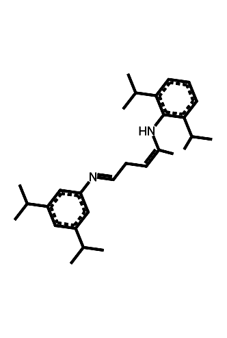 CC(=CCC=Nc1cc(C(C)C)cc(C(C)C)c1)Nc1c(C(C)C)cccc1C(C)C